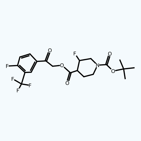 CC(C)(C)OC(=O)N1CCC(C(=O)OCC(=O)c2ccc(F)c(C(F)(F)F)c2)C(F)C1